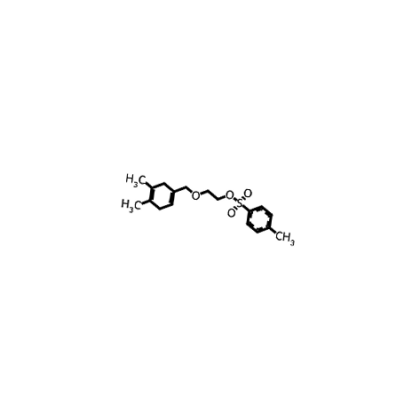 CC1=C(C)CC(COCCOS(=O)(=O)c2ccc(C)cc2)=CC1